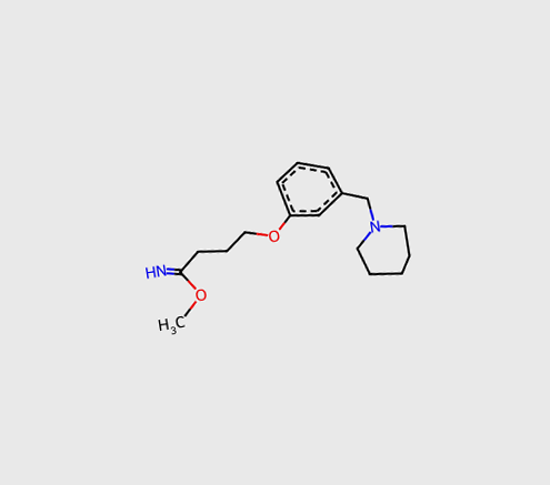 COC(=N)CCCOc1cccc(CN2CCCCC2)c1